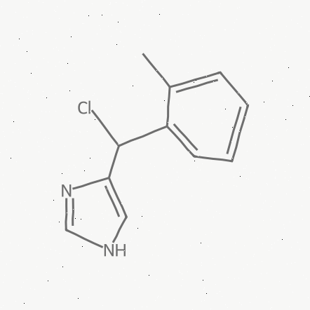 Cc1ccccc1C(Cl)c1c[nH]cn1